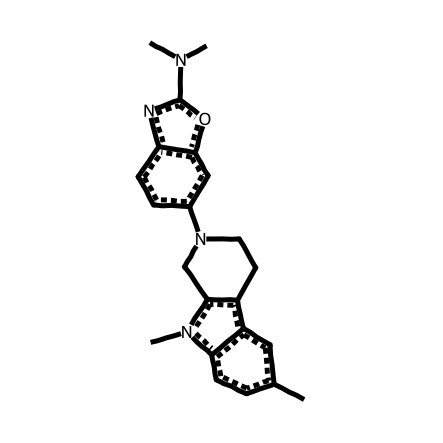 Cc1ccc2c(c1)c1c(n2C)CN(c2ccc3nc(N(C)C)oc3c2)CC1